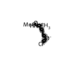 COC(=O)Nc1ccc(C)c(C2CCN(CCc3ccc([S+]([O-])c4ccc(Cl)cc4)cc3)CC2)c1